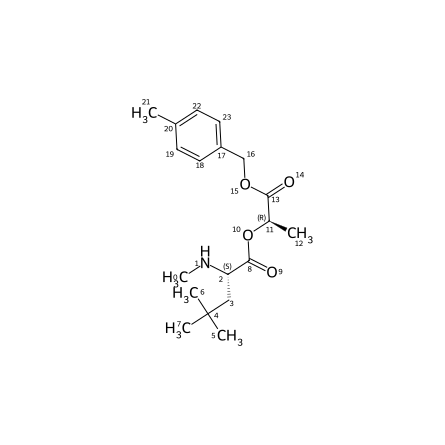 CN[C@@H](CC(C)(C)C)C(=O)O[C@H](C)C(=O)OCc1ccc(C)cc1